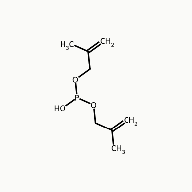 C=C(C)COP(O)OCC(=C)C